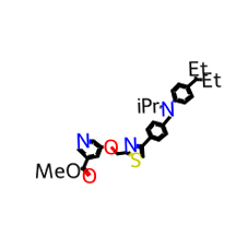 CCC(CC)c1ccc(N(Cc2ccc(-c3csc(COc4cncc(C(=O)OC)c4)n3)cc2)C(C)C)cc1